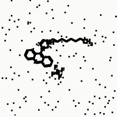 CCCCCCCC[NH+]1C=CN(c2c3ccccc3cc3ccccc23)C1.F[B-](F)(F)F